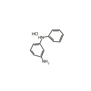 Cl.Nc1cccc(Nc2ccccc2)c1